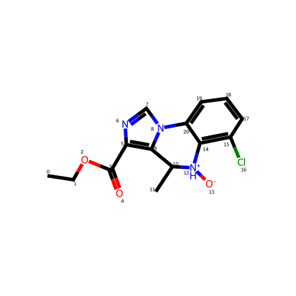 CCOC(=O)c1ncn2c1C(C)[NH+]([O-])c1c(Cl)cccc1-2